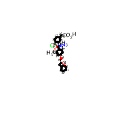 Cc1cc(OC[C@@H]2Cc3ccccc3O2)cc(C)c1C(=O)Nc1cc(CC(=O)O)ccc1Cl